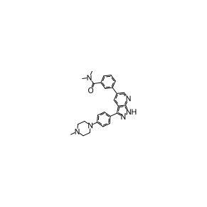 CN1CCN(c2ccc(-c3n[nH]c4ncc(-c5cccc(C(=O)N(C)C)c5)cc34)cc2)CC1